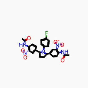 CC(=O)Nc1ccc(C2CCC(c3ccc(NC(C)=O)c([N+](=O)[O-])c3)N2c2ccc(F)cc2)cc1[N+](=O)[O-]